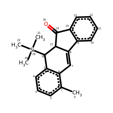 Cc1cccc2c1C=C1c3ccccc3C(=O)C1C2[Si](C)(C)C